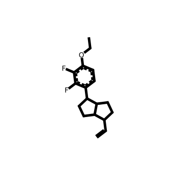 C=CC1CCC2C(c3ccc(OCC)c(F)c3F)CCC12